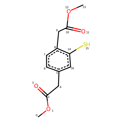 COC(=O)Cc1ccc(CC(=O)OC)c(S)c1